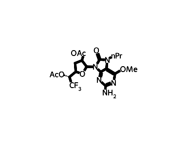 CCCn1c(=O)n(C2OC([C@@H](OC(C)=O)C(F)(F)F)CC2OC(C)=O)c2nc(N)nc(OC)c21